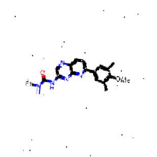 CCNC(=O)Nc1cnc2ccc(-c3cc(C)c(OC)c(C)c3)nc2n1